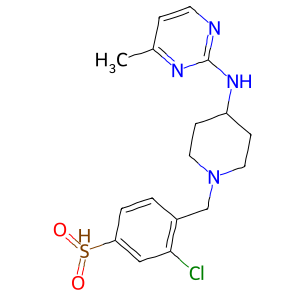 Cc1ccnc(NC2CCN(Cc3ccc([SH](=O)=O)cc3Cl)CC2)n1